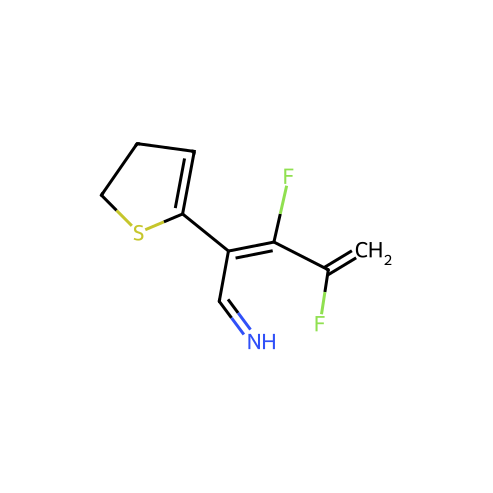 C=C(F)/C(F)=C(\C=N)C1=CCCS1